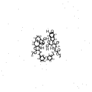 CCOC(=O)[C@H](CCc1ccccc1)N[C@@H](C)C(=O)N(CC(=O)O)C1Cc2ccccc2C1.CCOC(=O)[C@H](CCc1ccccc1)N[C@H]1CCCN2CCC[C@@H](C(=O)O)N2C1=O.O